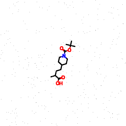 CC(CCC1CCN(C(=O)OC(C)(C)C)CC1)C(=O)O